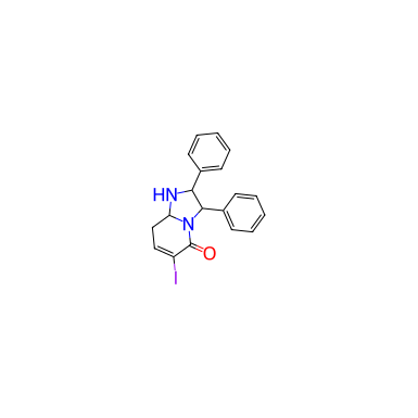 O=C1C(I)=CCC2NC(c3ccccc3)C(c3ccccc3)N12